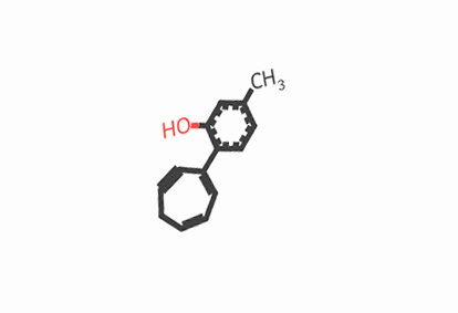 Cc1ccc(C2=CC=CCC#C2)c(O)c1